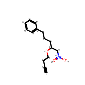 C#CCCOC(CCCc1ccccc1)C[N+](=O)[O-]